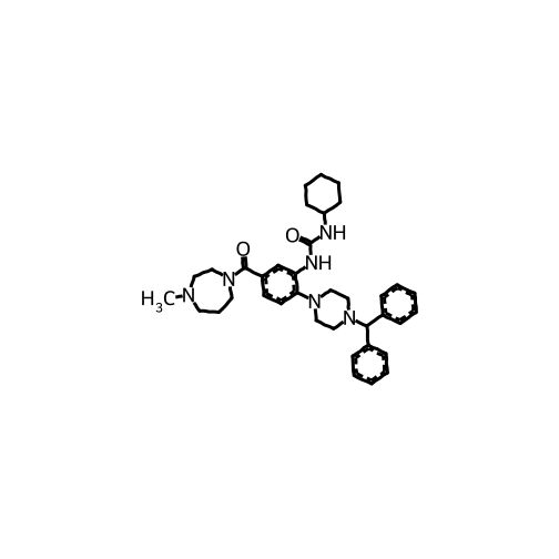 CN1CCCN(C(=O)c2ccc(N3CCN(C(c4ccccc4)c4ccccc4)CC3)c(NC(=O)NC3CCCCC3)c2)CC1